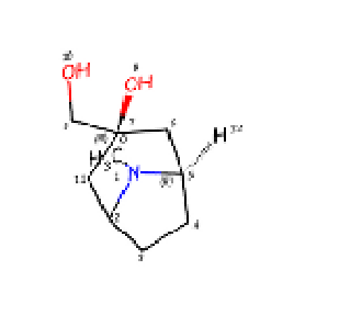 CN1C2CC[C@@H]1C[C@@](O)(CO)C2